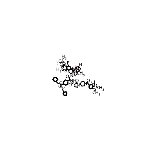 COc1ccc(C(=O)N2CCC(N3CCN(C(=O)NC(C(=O)N[C@@H](Cc4ccc(F)c(C(=O)OC(C)(C)C)c4OC)B4O[C@@H]5C[C@@H]6C[C@@H](C6(C)C)[C@]5(C)O4)c4ccc(P(=O)(OCc5ccccc5)OCc5ccccc5)cc4)C3=O)CC2)c(Cl)c1OC